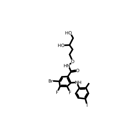 Cc1cc(I)ccc1Nc1c(C(=O)NOCCC(O)CO)cc(Br)c(F)c1F